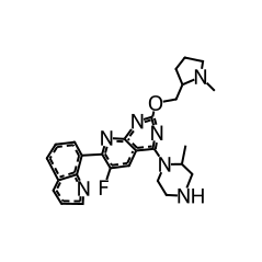 CC1CNCCN1c1nc(OCC2CCCN2C)nc2nc(-c3cccc4cccnc34)c(F)cc12